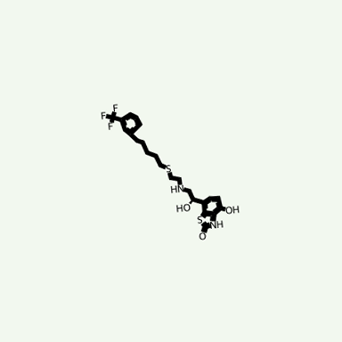 O=c1[nH]c2c(O)ccc([C@@H](O)CNCCSCCC[CH]Cc3cccc(C(F)(F)F)c3)c2s1